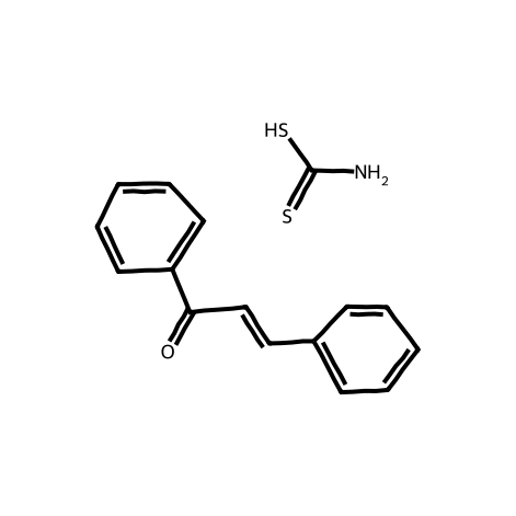 NC(=S)S.O=C(C=Cc1ccccc1)c1ccccc1